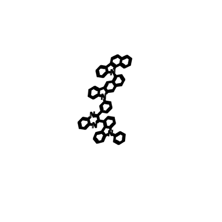 c1ccc(-n2c3ccccc3c3c(-c4nc5ccccc5nc4-c4cccc(-n5c6ccccc6c6cc7c(-n8c9ccccc9c9ccc%10ccccc%10c98)cccc7cc65)c4)cccc32)cc1